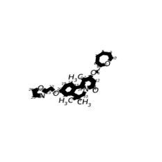 Cc1c(OC[C@@H]2CCCCCO2)cc(=O)n2c1-c1ccc(OCc3ncco3)cc1C(C)(C)C2